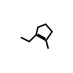 CCC1=C(C)CCC1